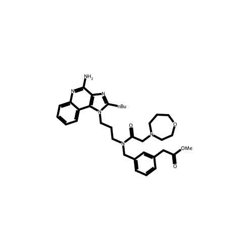 CCCCc1nc2c(N)nc3ccccc3c2n1CCCN(Cc1cccc(CC(=O)OC)c1)C(=O)CN1CCCOCC1